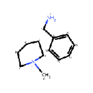 CN1CCCCC1.NCc1ccccc1